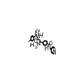 CCC(NC(=O)CC(N)c1ccc(C(=O)Nc2ccncc2)cc1)c1ccc(C)cc1